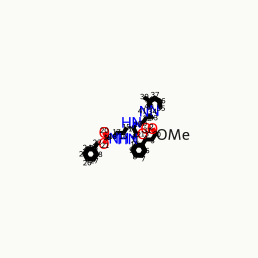 COC(=O)CCc1ccccc1NC(=O)[C@H](CCCNC(=O)OCc1ccccc1)NC(=O)c1cn2cccc(C)c2n1